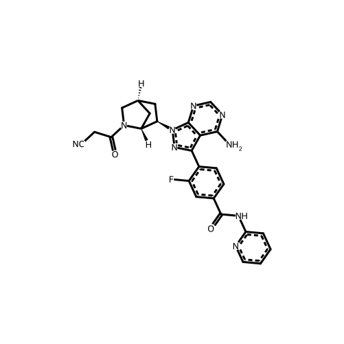 N#CCC(=O)N1C[C@@H]2C[C@@H]1[C@H](n1nc(-c3ccc(C(=O)Nc4ccccn4)cc3F)c3c(N)ncnc31)C2